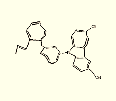 C/C=C/c1ccccc1-c1cccc(-n2c3ccc(C#N)cc3c3cc(C#N)ccc32)c1